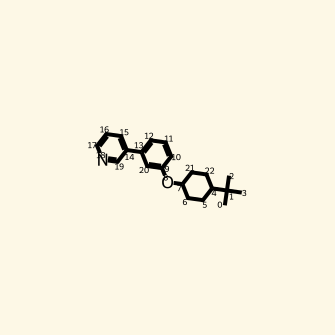 CC(C)(C)C1CCC(Oc2cccc(-c3cccnc3)c2)CC1